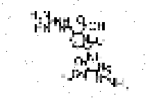 N=C(N)N/N=C/C1=C(C(=O)O)N2C(=O)C(NC(=O)/C(=N\OCF)c3nsc(N)n3)C2SC1